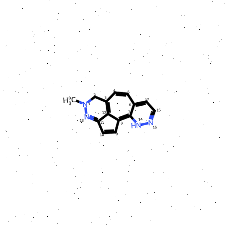 CN1Cc2ccc3c(c4ccc(c2-4)=N1)NN=CC=3